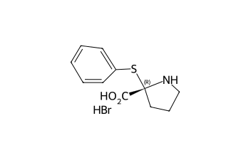 Br.O=C(O)[C@]1(Sc2ccccc2)CCCN1